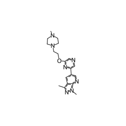 Cc1nn(C)c2ncc(-c3cncc(OCCN4CCN(C)CC4)n3)cc12